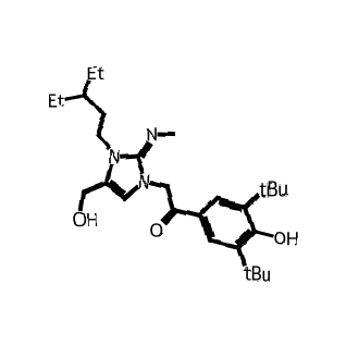 CCC(CC)CCn1c(CO)cn(CC(=O)c2cc(C(C)(C)C)c(O)c(C(C)(C)C)c2)c1=NC